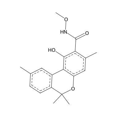 CONC(=O)c1c(C)cc2c(c1O)-c1cc(C)ccc1C(C)(C)O2